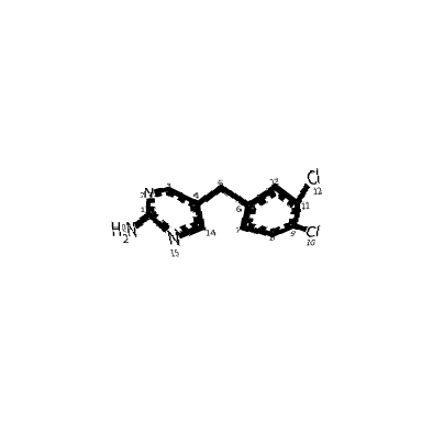 Nc1ncc(Cc2ccc(Cl)c(Cl)c2)cn1